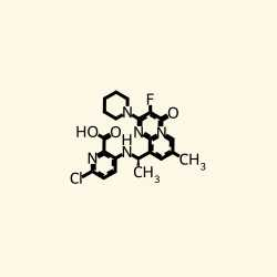 Cc1cc([C@@H](C)Nc2ccc(Cl)nc2C(=O)O)c2nc(N3CCCCC3)c(F)c(=O)n2c1